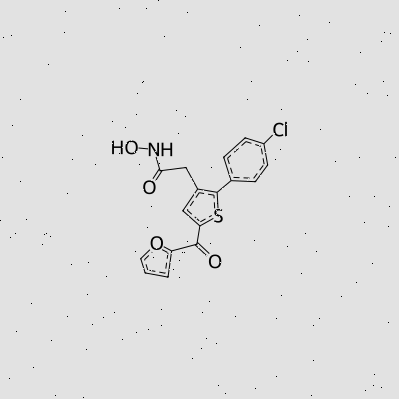 O=C(Cc1cc(C(=O)c2ccco2)sc1-c1ccc(Cl)cc1)NO